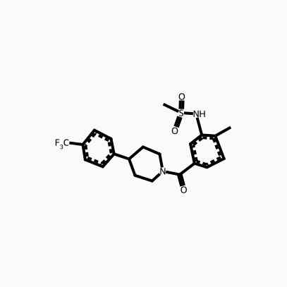 Cc1ccc(C(=O)N2CCC(c3ccc(C(F)(F)F)cc3)CC2)cc1NS(C)(=O)=O